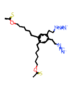 CC(=S)OCCCCCCc1cc(CCN=[N+]=[N-])c(CCN=[N+]=[N-])cc1CCCCCCOC(C)=S